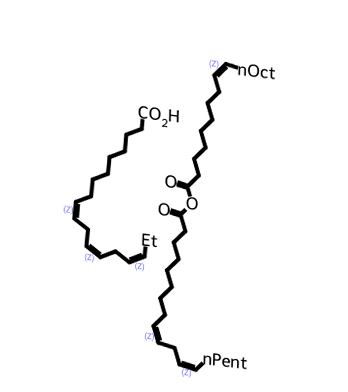 CC/C=C\C/C=C\C/C=C\CCCCCCCC(=O)O.CCCCC/C=C\C/C=C\CCCCCCCC(=O)OC(=O)CCCCCCC/C=C\CCCCCCCC